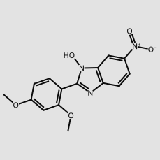 COc1ccc(-c2nc3ccc([N+](=O)[O-])cc3n2O)c(OC)c1